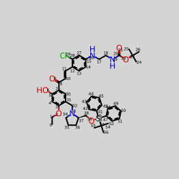 CCOc1cc(O)c(C(=O)/C=C/c2ccc(NCCNC(=O)OC(C)(C)C)cc2Cl)cc1CN1CCC[C@@H]1CO[Si](c1ccccc1)(c1ccccc1)C(C)(C)C